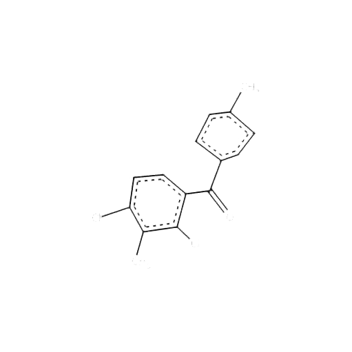 Cc1ccc(C(=O)c2ccc(Cl)c(C)c2Cl)cc1